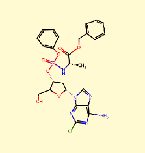 C[C@H](NP(=O)(Oc1ccccc1)O[C@@H]1C[C@H](n2cnc3c(N)nc(Cl)nc32)OC1CO)C(=O)OCc1ccccc1